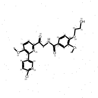 COc1cc(C(=O)NCC(=O)c2ccc(OC)c(-c3ccc(Cl)nc3)n2)ccc1OCCO